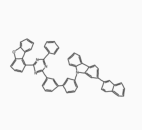 c1ccc(-c2nc(-c3cccc(-c4cccc(-n5c6ccccc6c6ccc(-c7ccc8ccccc8c7)cc65)c4)c3)nc(-c3cccc4oc5ccccc5c34)n2)cc1